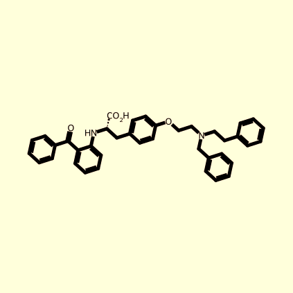 O=C(c1ccccc1)c1ccccc1N[C@@H](Cc1ccc(OCCN(CCc2ccccc2)Cc2ccccc2)cc1)C(=O)O